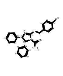 CC(=O)N1C(SCc2ccc(F)cc2)=N[C@@H](c2ccccc2)[C@H]1c1ccccc1